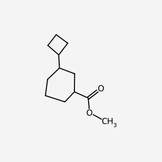 COC(=O)C1CCCC(C2CCC2)C1